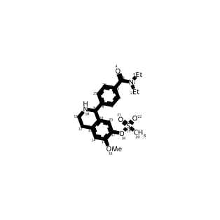 CCN(CC)C(=O)c1ccc(C2NCCc3cc(OC)c(OS(C)(=O)=O)cc32)cc1